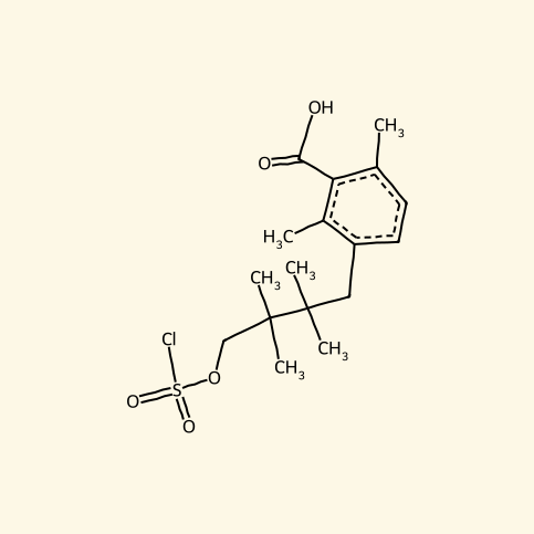 Cc1ccc(CC(C)(C)C(C)(C)COS(=O)(=O)Cl)c(C)c1C(=O)O